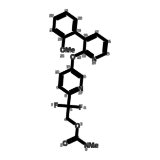 CNC(=O)OCC(F)(F)c1ccc(Oc2ncccc2-c2ccccc2OC)cn1